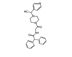 N#CC(c1ccncc1)N1CCN(C(=O)CNC(=O)C(c2ccccc2)c2ccccc2)CC1